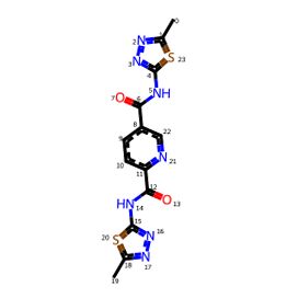 Cc1nnc(NC(=O)c2ccc(C(=O)Nc3nnc(C)s3)nc2)s1